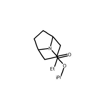 CCC(=O)N1C2CCC1CC(OC(C)C)C2